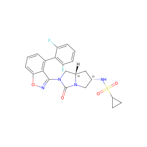 O=C1N(c2noc3cccc(-c4c(F)cccc4F)c23)C[C@@H]2C[C@H](NS(=O)(=O)C3CC3)CN12